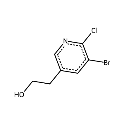 OCCc1cnc(Cl)c(Br)c1